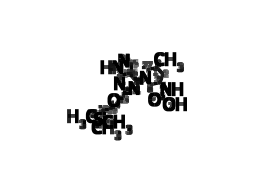 C[C@H]1C[C@@H](NC(=O)O)CN(c2nc(COCC[Si](C)(C)C)nc3[nH]ncc23)C1